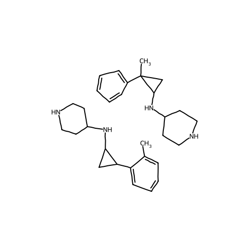 CC1(c2ccccc2)CC1NC1CCNCC1.Cc1ccccc1C1CC1NC1CCNCC1